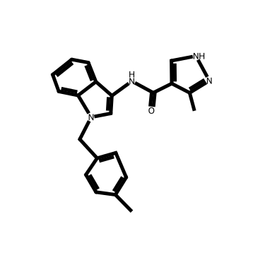 Cc1ccc(Cn2cc(NC(=O)c3c[nH]nc3C)c3ccccc32)cc1